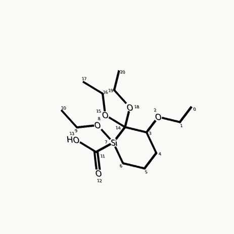 CCOC1CCC[Si](OCC)(C(=O)O)C1(OCC)OCC